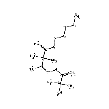 C=C(CCN(C)C(C)(C)C(=C)CCCCCC)C(C)(C)C